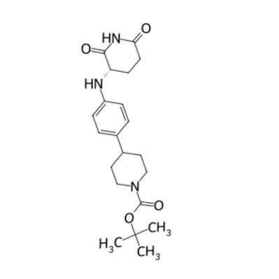 CC(C)(C)OC(=O)N1CCC(c2ccc(N[C@H]3CCC(=O)NC3=O)cc2)CC1